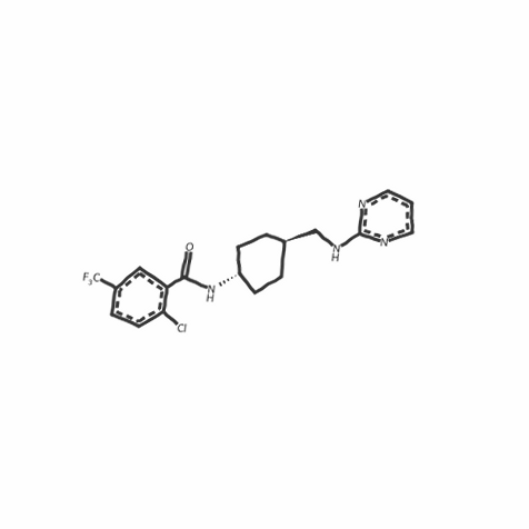 O=C(N[C@H]1CC[C@H](CNc2ncccn2)CC1)c1cc(C(F)(F)F)ccc1Cl